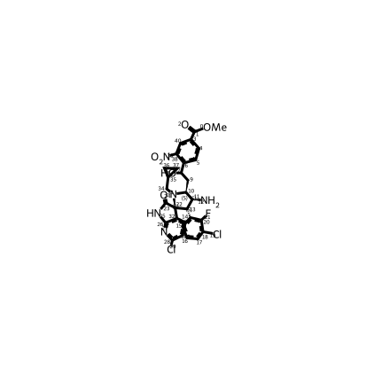 COC(=O)c1ccc(C(O)C[C@H]2[C@@H](N)[C@H](c3cccc(Cl)c3F)[C@]3(C(=O)Nc4nc(Cl)ccc43)N2CC2CC2)c([N+](=O)[O-])c1